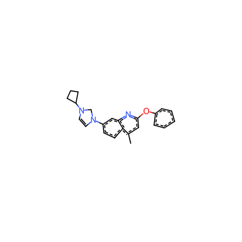 Cc1cc(Oc2ccccc2)nc2cc(N3C=CN(C4CCC4)C3)ccc12